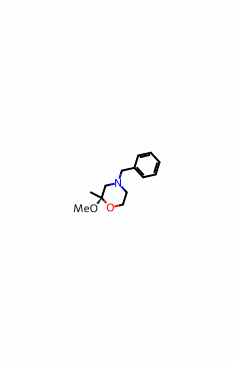 CO[C@@]1(C)CN(Cc2ccccc2)CCO1